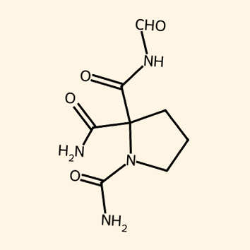 NC(=O)N1CCCC1(C(N)=O)C(=O)NC=O